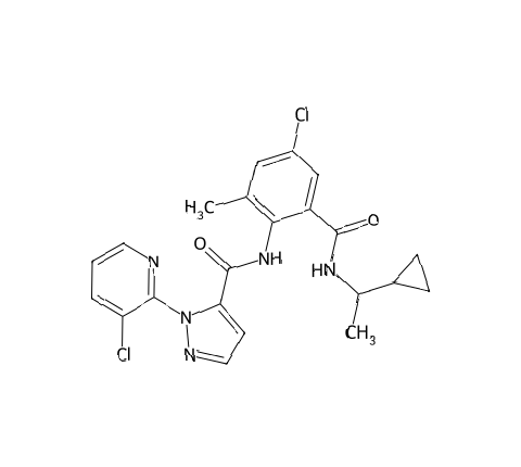 Cc1cc(Cl)cc(C(=O)NC(C)C2CC2)c1NC(=O)c1ccnn1-c1ncccc1Cl